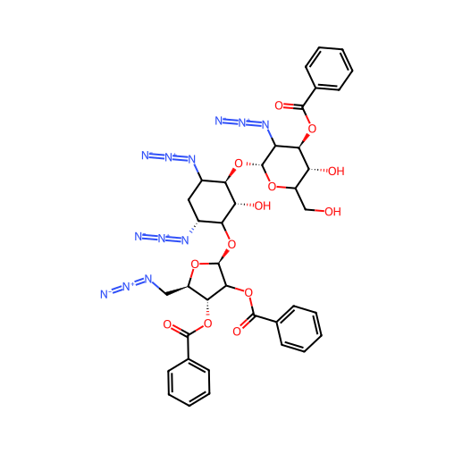 [N-]=[N+]=NC[C@H]1O[C@@H](OC2[C@@H](O)[C@H](O[C@H]3OC(CO)[C@@H](O)[C@H](OC(=O)c4ccccc4)C3N=[N+]=[N-])C(N=[N+]=[N-])C[C@H]2N=[N+]=[N-])C(OC(=O)c2ccccc2)[C@@H]1OC(=O)c1ccccc1